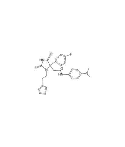 CN(C)c1ccc(NC(=O)CC2(c3ccc(F)cc3)C(=O)NC(=S)N2CCc2cccs2)cc1